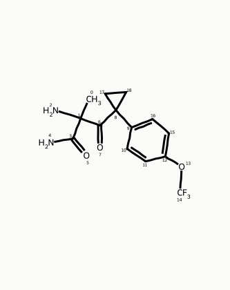 CC(N)(C(N)=O)C(=O)C1(c2ccc(OC(F)(F)F)cc2)CC1